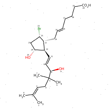 CC(C)=CCC(C)(C)[C@H](O)C=C[C@@H]1[C@@H](CC=CCCCC(=O)O)[C@@H](Br)C[C@H]1O